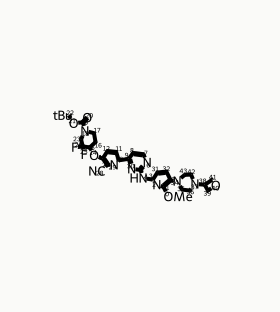 COc1nc(Nc2nccc(-c3ccc(OC4CCN(C(=O)OC(C)(C)C)CC4(F)F)c(C#N)n3)n2)ccc1N1CCN(C2COC2)CC1